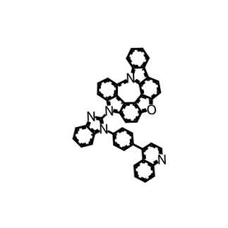 c1ccc2c(-c3ccc(-n4c(-n5c6ccc7oc8ccc9c%10ccccc%10n%10c%11cccc5c%11c6c7c8c9%10)nc5ccccc54)cc3)ccnc2c1